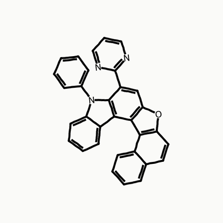 c1ccc(-n2c3ccccc3c3c4c(cc(-c5ncccn5)c32)oc2ccc3ccccc3c24)cc1